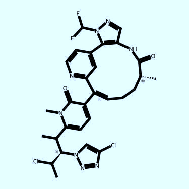 CC(Cl)[C@@H](C(C)c1ccc(/C2=C/CC[C@@H](C)C(=O)Nc3cnn(C(F)F)c3-c3ccnc2c3)c(=O)n1C)n1cc(Cl)nn1